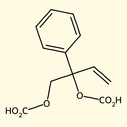 C=CC(COC(=O)O)(OC(=O)O)c1ccccc1